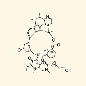 CCn1c(-c2cccnc2C(C)C)c2c3cc(ccc31)-c1cc(O)cc(c1)C[C@H](NC(=O)[C@H](C(C)C)N(C)C(=O)CN(C)C(=O)[C@@H]1CN1CCO)C(=O)N1CCC[C@H](N1)C(=O)OCC(C)(C)C2